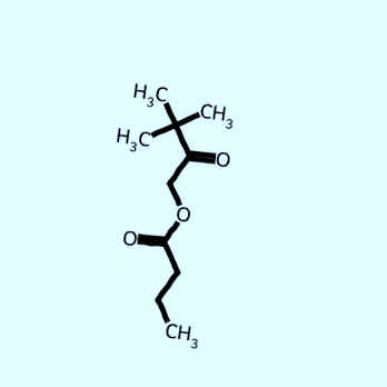 CCCC(=O)OCC(=O)C(C)(C)C